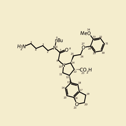 CCCCN(CCCCN)C(=O)CN1C[C@H](c2ccc3c(c2)CCO3)[C@@H](C(=O)O)[C@@H]1CCOc1ccccc1OC